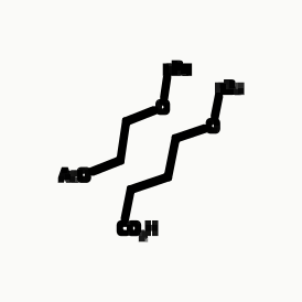 CCCCOCCCC(=O)O.CCCCOCCOC(C)=O